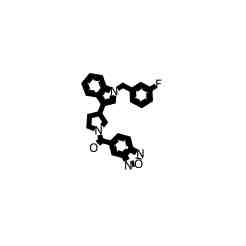 O=C(c1ccc2nonc2c1)N1CCC(c2cn(Cc3cccc(F)c3)c3ccccc23)C1